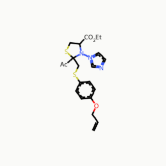 C=CCOc1ccc(SCC2(C(C)=O)SCC(C(=O)OCC)N2n2ccnc2)cc1